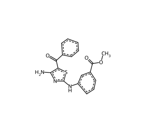 COC(=O)c1cccc(Nc2nc(N)c(C(=O)c3ccccc3)s2)c1